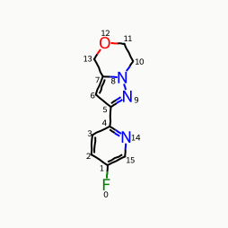 Fc1ccc(-c2cc3n(n2)CCOC3)nc1